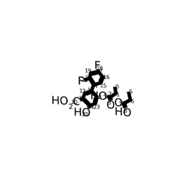 CCC(=O)O.CCC(=O)O.O=C(O)c1cc(-c2ccc(F)cc2F)ccc1O